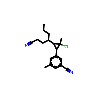 CCCC(CCC#N)C1C(c2cc(C)cc(C#N)c2)C1(C)Cl